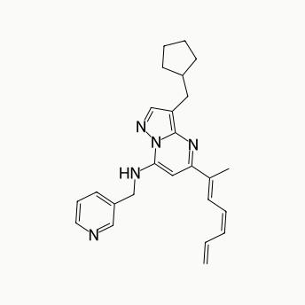 C=C/C=C\C=C(/C)c1cc(NCc2cccnc2)n2ncc(CC3CCCC3)c2n1